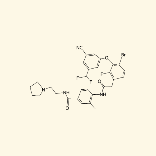 Cc1cc(C(=O)NCCN2CCCC2)ccc1NC(=O)Cc1ccc(Br)c(Oc2cc(C#N)cc(C(F)F)c2)c1F